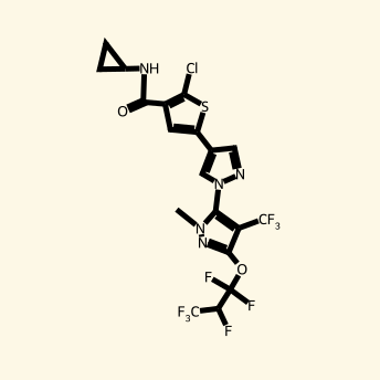 Cn1nc(OC(F)(F)C(F)C(F)(F)F)c(C(F)(F)F)c1-n1cc(-c2cc(C(=O)NC3CC3)c(Cl)s2)cn1